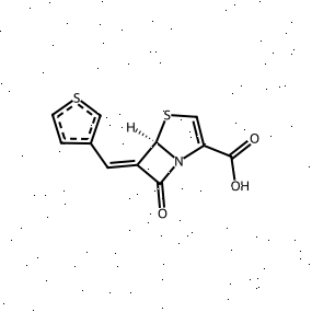 O=C(O)C1=CS[C@@H]2C(=Cc3ccsc3)C(=O)N12